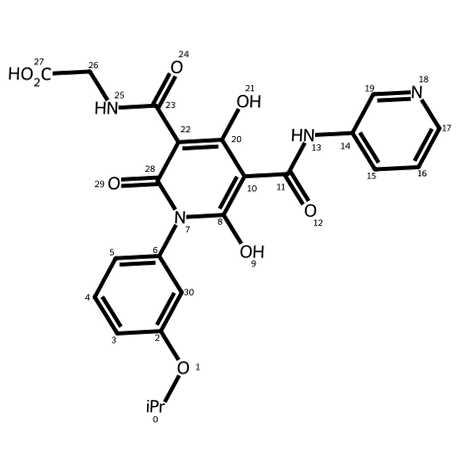 CC(C)Oc1cccc(-n2c(O)c(C(=O)Nc3cccnc3)c(O)c(C(=O)NCC(=O)O)c2=O)c1